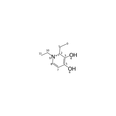 CCc1c(O)c(O)cc[n+]1CC